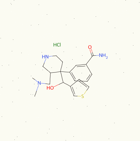 CN(C)CC1CNCCC1(c1cccc(C(N)=O)c1)C(O)c1ccsc1.Cl